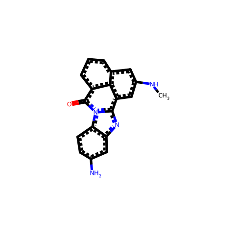 CNc1cc2cccc3c(=O)n4c5ccc(N)cc5nc4c(c1)c23